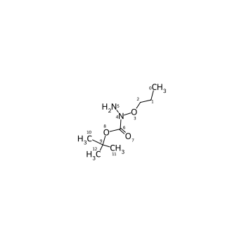 CCCON(N)C(=O)OC(C)(C)C